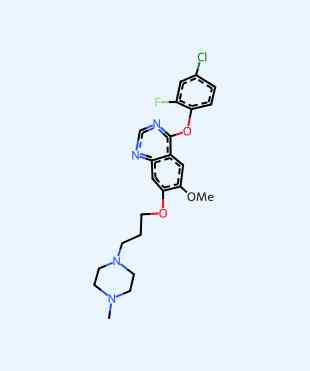 COc1cc2c(Oc3ccc(Cl)cc3F)ncnc2cc1OCCCN1CCN(C)CC1